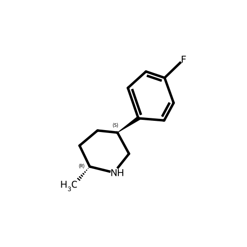 C[C@@H]1CC[C@@H](c2ccc(F)cc2)CN1